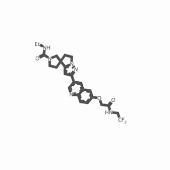 CCNC(=O)N1CCC2(CCn3nc(-c4cnc5ccc(OCC(=O)NCC(F)(F)F)cc5c4)cc32)C1